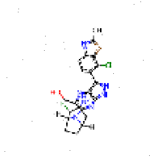 Cc1nc2ccc(-c3n[nH]c4nc(N5[C@H]6CC[C@@H]5[C@@H](F)[C@@H](N)C6)c(CO)nc34)c(Cl)c2s1